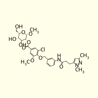 COc1cc(C(=O)O[C@H]2[C@@H](OC)O[C@H](CO)[C@@H](O)[C@@H]2O)cc(Cl)c1OCc1cccc(NC(=O)CCc2cc(C)nn2C)c1